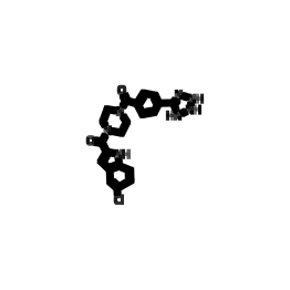 O=C(c1ccc(C2=NNNN2)cc1)N1CCN(C(=O)c2cc3cc(Cl)ccc3[nH]2)CC1